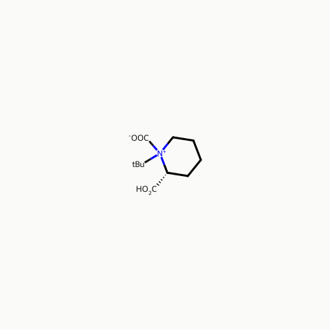 CC(C)(C)[N+]1(C(=O)[O-])CCCC[C@@H]1C(=O)O